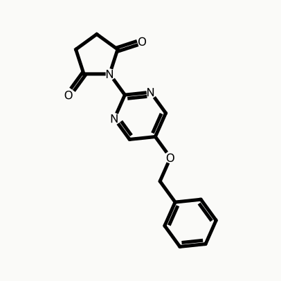 O=C1CCC(=O)N1c1ncc(OCc2ccccc2)cn1